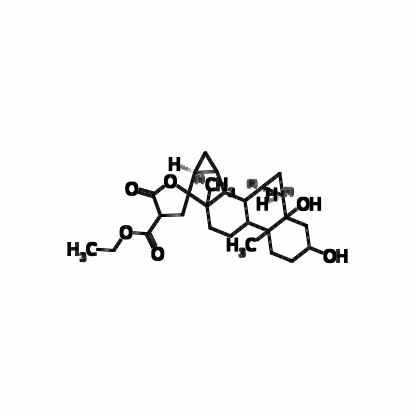 CCOC(=O)C1CC2(OC1=O)[C@H]1CC1C1C3C(CCC12C)C1(C)CCC(O)CC1(O)[C@@H]1C[C@H]31